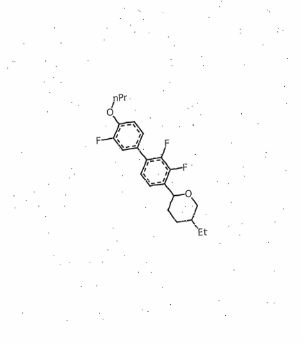 CCCOc1ccc(-c2ccc(C3CCC(CC)CO3)c(F)c2F)cc1F